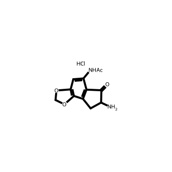 CC(=O)Nc1cc2c(c3c1C(=O)C(N)C3)OCO2.Cl